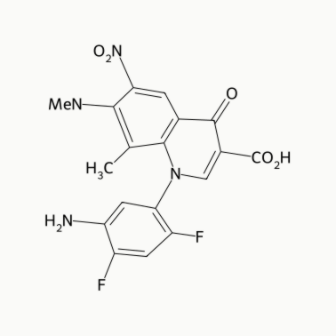 CNc1c([N+](=O)[O-])cc2c(=O)c(C(=O)O)cn(-c3cc(N)c(F)cc3F)c2c1C